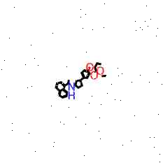 CCOC(=O)C(CC)Oc1ccc(C2CCC(NC(C)c3cccc4ccccc34)C2)cc1